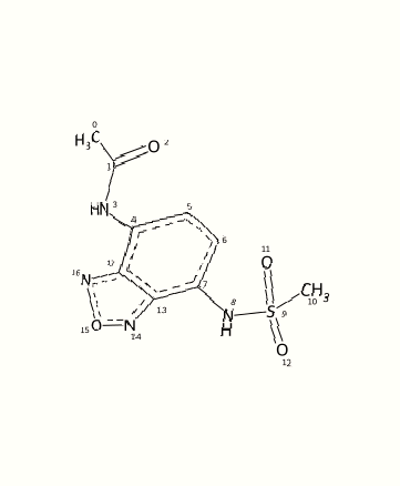 CC(=O)Nc1ccc(NS(C)(=O)=O)c2nonc12